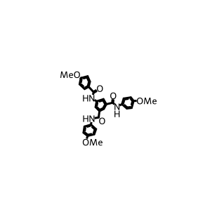 COc1ccc(NC(=O)c2cc(NC(=O)c3ccc(OC)cc3)cc(C(=O)Nc3ccc(OC)cc3)c2)cc1